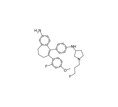 COc1ccc(C2=C(c3ccc(NC4CCN(CCCF)C4)cc3)c3ccc(N)cc3CCC2)c(F)c1